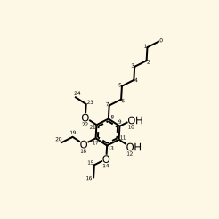 CCCCCCCCc1c(O)c(O)c(OCC)c(OCC)c1OCC